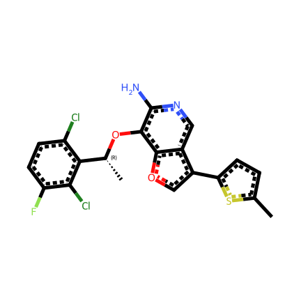 Cc1ccc(-c2coc3c(O[C@H](C)c4c(Cl)ccc(F)c4Cl)c(N)ncc23)s1